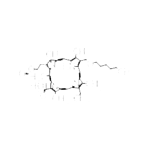 CCCCCCOCc1c(C)c2cc3nc(c(C)c4[nH]c(cc5nc(cc1[nH]2)C(C)=C5CC)c(C)c4C(=O)O)[C@@H](CCOC=O)[C@@H]3C